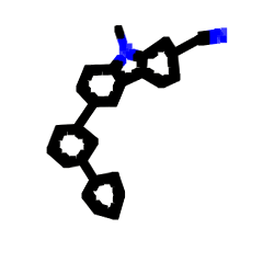 Cn1c2ccc(-c3cccc(-c4ccccc4)c3)cc2c2ccc(C#N)cc21